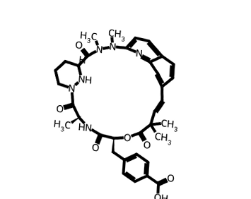 C[C@@H]1NC(=O)[C@H](Cc2ccc(C(=O)O)cc2)OC(=O)C(C)(C)/C=C/c2ccc3ccc(nc3c2)N(C)N(C)C(=O)[C@@H]2CCCN(N2)C1=O